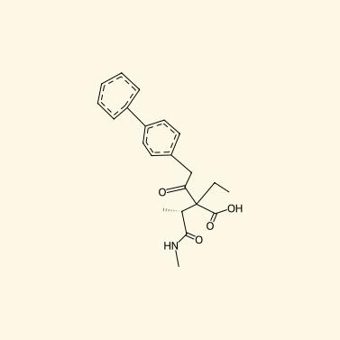 CCC(C(=O)O)(C(=O)Cc1ccc(-c2ccccc2)cc1)[C@@H](C)C(=O)NC